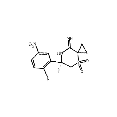 C[C@@]1(c2cc([N+](=O)[O-])ccc2F)CS(=O)(=O)C2(CC2)C(=N)N1